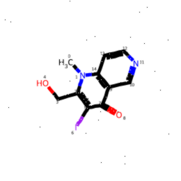 Cn1c(CO)c(I)c(=O)c2cnccc21